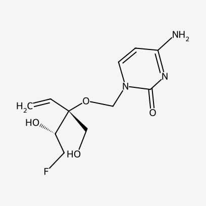 C=C[C@](CO)(OCn1ccc(N)nc1=O)[C@@H](O)CF